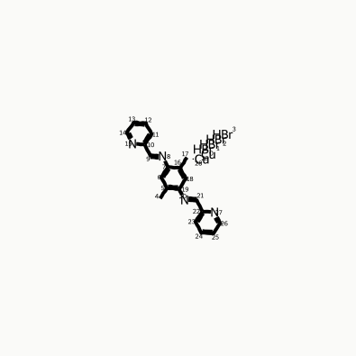 Br.Br.Br.Br.Cc1cc(N=Cc2ccccn2)c(C)cc1N=Cc1ccccn1.[Cu].[Cu]